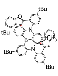 Cc1cc2c3c(c1)N(c1ccc(C(C)(C)C)cc1-c1cc4ccccc4o1)c1ccc(C(C)(C)C)cc1B3c1cc(C(C)(C)C)ccc1N2c1ccc(C(C)(C)C)cc1-c1cc2ccccc2o1